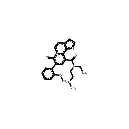 CCN(CCOC)C(=O)c1cc(-c2ccccc2OC)c(=O)n2ccc3ccsc3c12